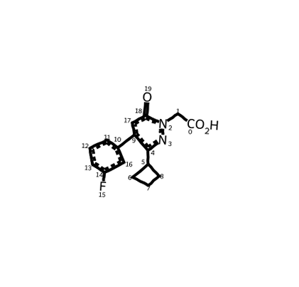 O=C(O)Cn1nc(C2CCC2)c(-c2cccc(F)c2)cc1=O